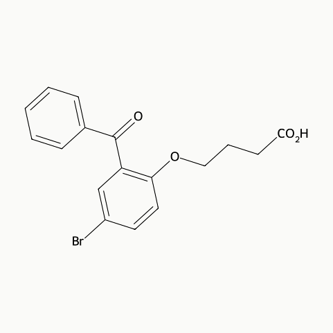 O=C(O)CCCOc1ccc(Br)cc1C(=O)c1ccccc1